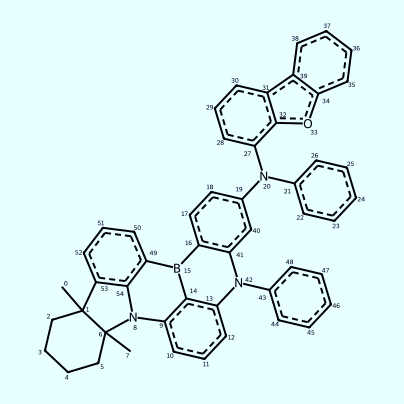 CC12CCCCC1(C)N1c3cccc4c3B(c3ccc(N(c5ccccc5)c5cccc6c5oc5ccccc56)cc3N4c3ccccc3)c3cccc2c31